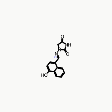 O=C1CN(/N=C/c2ccc(O)c3ccccc23)C(=O)N1